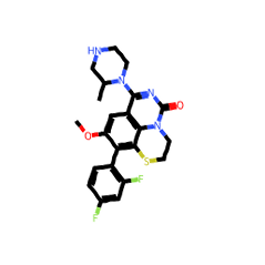 COc1cc2c(N3CCNCC3C)nc(=O)n3c2c(c1-c1ccc(F)cc1F)SCC3